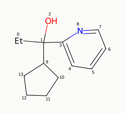 CCC(O)(c1ccccn1)C1CCCC1